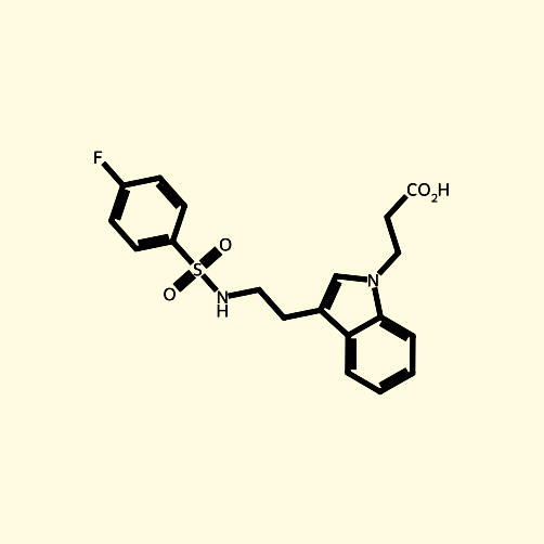 O=C(O)CCn1cc(CCNS(=O)(=O)c2ccc(F)cc2)c2ccccc21